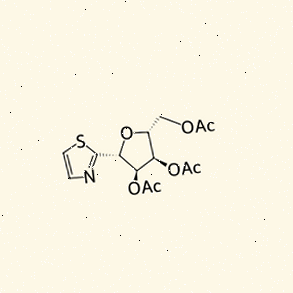 CC(=O)OC[C@H]1O[C@@H](c2nccs2)[C@H](OC(C)=O)[C@@H]1OC(C)=O